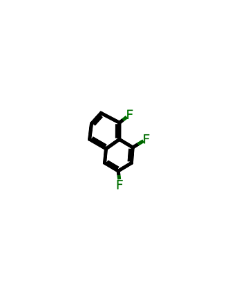 Fc1cc(F)c2c(F)cccc2c1